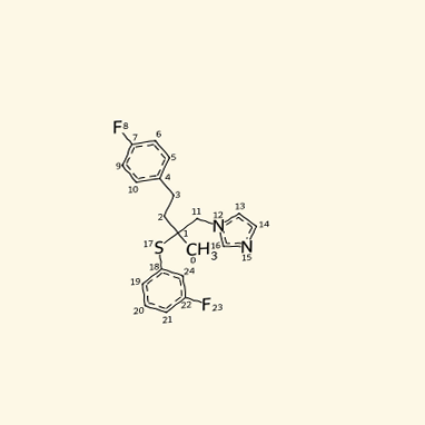 CC(CCc1ccc(F)cc1)(Cn1ccnc1)Sc1cccc(F)c1